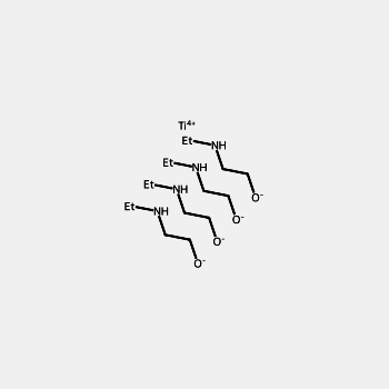 CCNCC[O-].CCNCC[O-].CCNCC[O-].CCNCC[O-].[Ti+4]